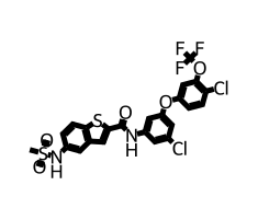 CS(=O)(=O)Nc1ccc2sc(C(=O)Nc3cc(Cl)cc(Oc4ccc(Cl)c(OC(F)(F)F)c4)c3)cc2c1